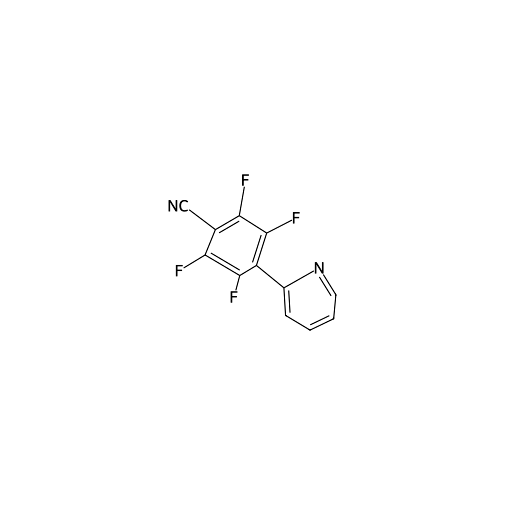 N#Cc1c(F)c(F)c(-c2ccccn2)c(F)c1F